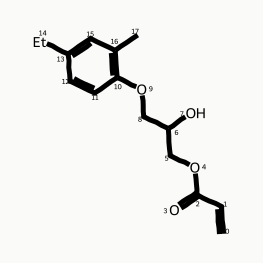 C=CC(=O)OCC(O)COc1ccc(CC)cc1C